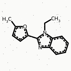 CCn1c(-c2ccc(C)o2)nc2ccccc21